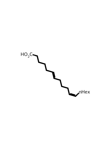 CCCCCC/C=C\CCCC=CCCCCC(=O)O